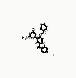 Cc1ccc(C(=O)c2ccc(OCc3ccccc3)c(-c3cc(Cl)nc(N)n3)c2)c(F)c1